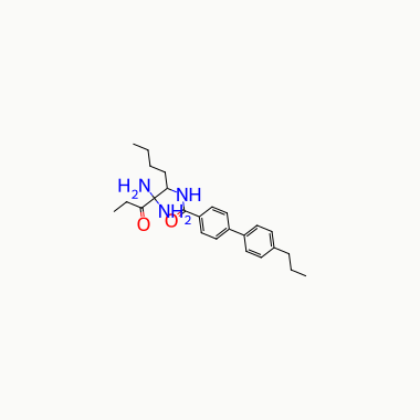 CCCCC(NC(=O)c1ccc(-c2ccc(CCC)cc2)cc1)C(N)(N)C(=O)CC